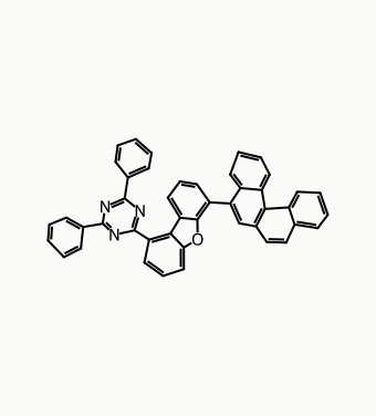 c1ccc(-c2nc(-c3ccccc3)nc(-c3cccc4oc5c(-c6cc7ccc8ccccc8c7c7ccccc67)cccc5c34)n2)cc1